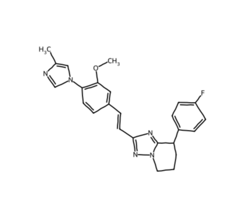 COc1cc(C=Cc2nc3n(n2)CCCC3c2ccc(F)cc2)ccc1-n1cnc(C)c1